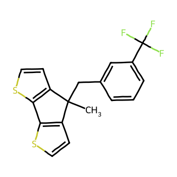 CC1(Cc2cccc(C(F)(F)F)c2)c2ccsc2-c2sccc21